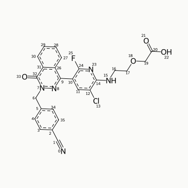 N#Cc1ccc(Cn2nc(-c3cc(Cl)c(NCCOCC(=O)O)nc3F)c3ccccc3c2=O)cc1